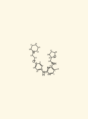 Cc1cnc(Nc2ccc(OCCN3CCCCC3)cc2)nc1NCC1CCCO1